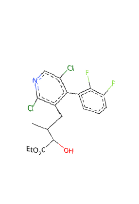 CCOC(=O)C(O)C(C)Cc1c(Cl)ncc(Cl)c1-c1cccc(F)c1F